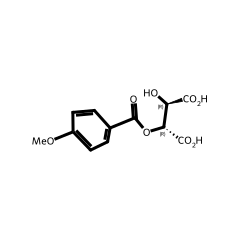 COc1ccc(C(=O)O[C@@H](C(=O)O)[C@@H](O)C(=O)O)cc1